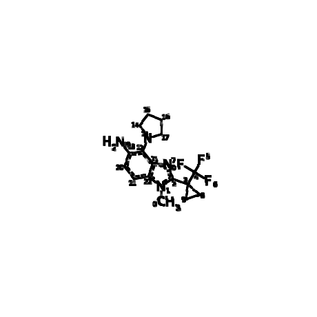 Cn1c(C2(C(F)(F)F)CC2)nc2c(N3CCCC3)c(N)ccc21